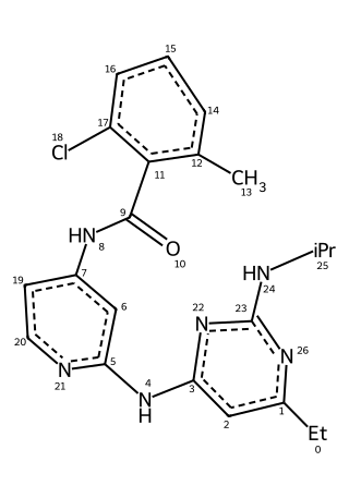 CCc1cc(Nc2cc(NC(=O)c3c(C)cccc3Cl)ccn2)nc(NC(C)C)n1